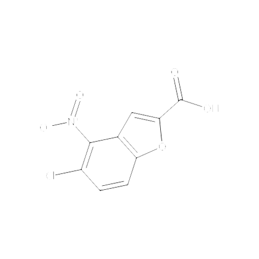 O=C(O)c1cc2c([N+](=O)[O-])c(Cl)ccc2o1